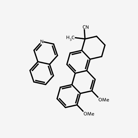 COc1cccc2c1c(OC)cc1c3c(ccc12)C(C)(C#N)CCC3.c1ccc2cnccc2c1